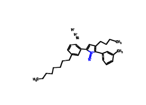 CCCCCCCCc1cccc(C2=CC(CCCC)=C(c3cccc(C)c3)[N+]2=[N-])c1.[H-].[H-].[Ni]